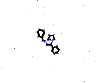 c1ccc(C[n+]2cc(-c3ccccc3)n3c2CCC3)cc1